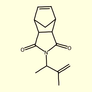 C=C(C)C(C)N1C(=O)C2C3C=CC(C3)C2C1=O